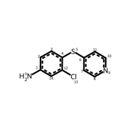 Nc1ccc(Sc2ccncc2)c(Cl)c1